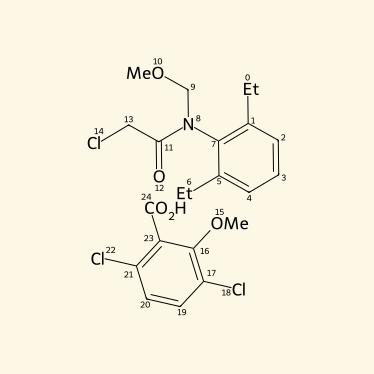 CCc1cccc(CC)c1N(COC)C(=O)CCl.COc1c(Cl)ccc(Cl)c1C(=O)O